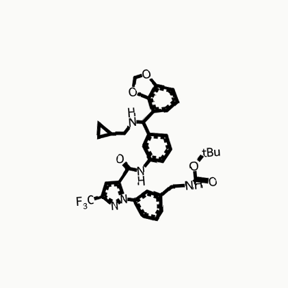 CC(C)(C)OC(=O)NCc1cccc(-n2nc(C(F)(F)F)cc2C(=O)Nc2cccc(C(NCC3CC3)c3cccc4c3OCO4)c2)c1